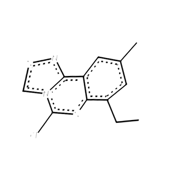 CCc1cc(C)cc2c1nc(Cl)n1cnnc21